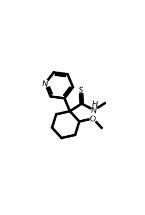 CNC(=S)C1(c2cccnc2)CCCCC1OC